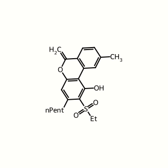 C=C1Oc2cc(CCCCC)c(S(=O)(=O)CC)c(O)c2-c2cc(C)ccc21